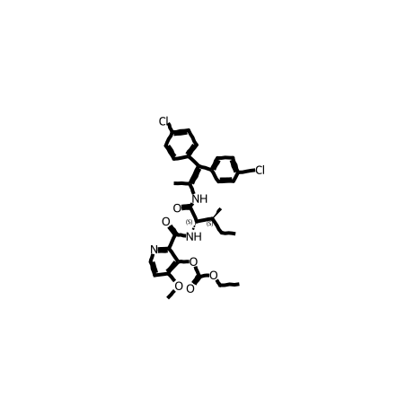 CCOC(=O)Oc1c(OC)ccnc1C(=O)N[C@H](C(=O)NC(C)=C(c1ccc(Cl)cc1)c1ccc(Cl)cc1)[C@@H](C)CC